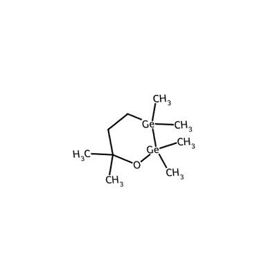 CC1(C)C[CH2][Ge]([CH3])([CH3])[Ge]([CH3])([CH3])[O]1